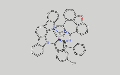 N#Cc1cccc(-c2nc(-c3cccc4oc5cccc(-c6ccccc6)c5c34)nc(-n3c4ccccc4c4ccc5c6ccccc6n(-c6ccc(-c7ccccc7)cc6)c5c43)n2)c1